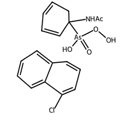 CC(=O)NC1([As](=O)(O)OO)C=CC=CC1.Clc1cccc2ccccc12